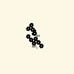 CC1(C)C=C(Nc2ccc(-c3ccc(N)cc3-c3ccc(-c4ccccc4)cc3)c(-c3ccc(-c4ccccc4)cc3)c2)C=C2C=c3cc4c5ccccc5c5ccccc5c4cc3=C21